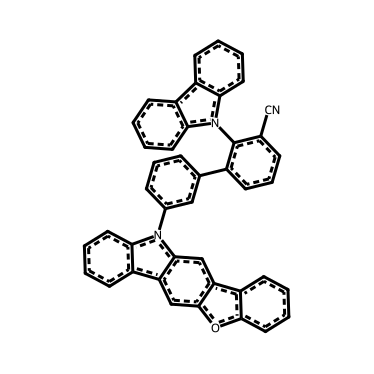 N#Cc1cccc(-c2cccc(-n3c4ccccc4c4cc5oc6ccccc6c5cc43)c2)c1-n1c2ccccc2c2ccccc21